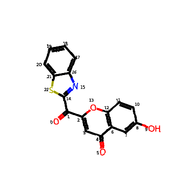 O=C(c1cc(=O)c2cc(O)ccc2o1)c1nc2ccccc2s1